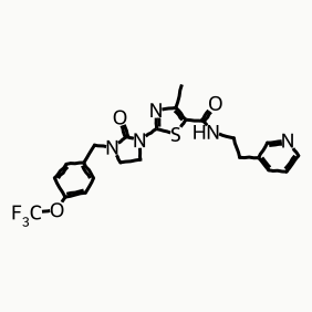 Cc1nc(N2CCN(Cc3ccc(OC(F)(F)F)cc3)C2=O)sc1C(=O)NCCc1cccnc1